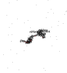 CCCCCCO[C@H]1[C@@H](OCCCCCC)[C@@H](CN2C(=O)c3ccccc3C2=O)O[C@@H](SCCCCCCOC2CC[C@@]3(C)C(=CC[C@H]4[C@@H]5CC[C@H]([C@H](C)CCCC(C)C)[C@@]5(C)CC[C@@H]43)C2)[C@@H]1OCCCCCC